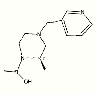 CB(O)N1CCN(Cc2cccnc2)C[C@H]1C